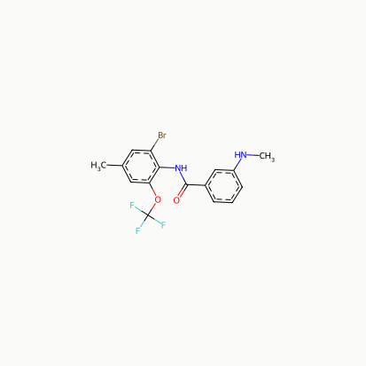 CNc1cccc(C(=O)Nc2c(Br)cc(C)cc2OC(F)(F)F)c1